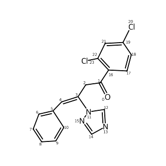 O=C(CC(=Cc1ccccc1)n1cncn1)c1ccc(Cl)cc1Cl